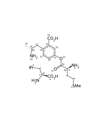 CC(C)C[C@H](N)C(=O)O.CSCC[C@H](N)C(=O)Oc1ccc(C[C@@H](C)N)c(C(=O)O)c1